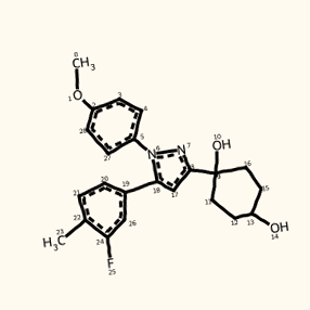 COc1ccc(-n2nc(C3(O)CCC(O)CC3)cc2-c2ccc(C)c(F)c2)cc1